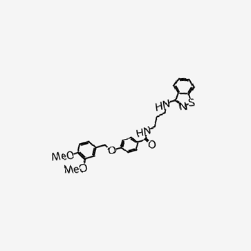 COc1ccc(COc2ccc(C(=O)NCCCNc3nsc4ccccc34)cc2)cc1OC